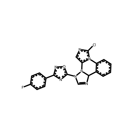 Fc1ccc(-c2noc(N3C=NC4c5ccccc5-n5c(cnc5Cl)N43)n2)cc1